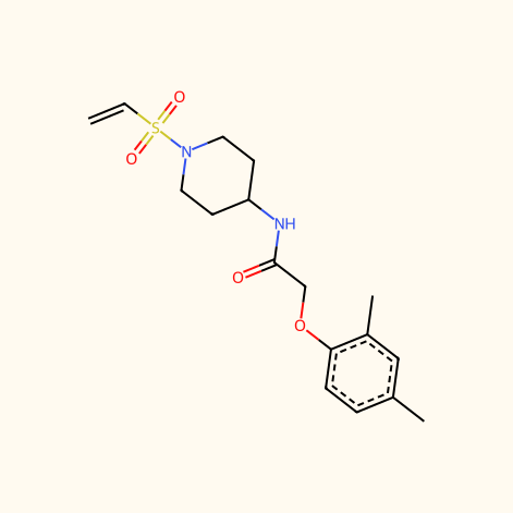 C=CS(=O)(=O)N1CCC(NC(=O)COc2ccc(C)cc2C)CC1